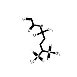 C=CC(=O)NC(C)(C)CCC(S(=O)(=O)C(F)(F)F)S(=O)(=O)C(F)(F)F